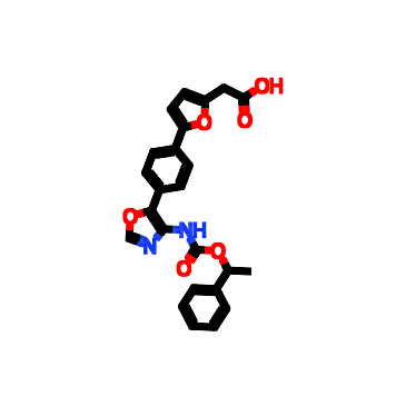 CC(OC(=O)Nc1ncoc1-c1ccc(-c2ccc(CC(=O)O)o2)cc1)c1ccccc1